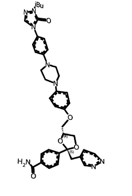 CCC(C)n1ncn(-c2ccc(N3CCN(c4ccc(OC[C@@H]5CO[C@](Cc6ccnnc6)(c6ccc(C(N)=O)cc6)O5)cc4)CC3)cc2)c1=O